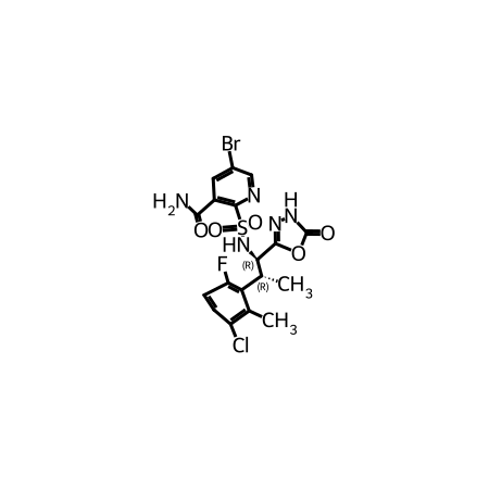 Cc1c(Cl)ccc(F)c1[C@@H](C)[C@@H](NS(=O)(=O)c1ncc(Br)cc1C(N)=O)c1n[nH]c(=O)o1